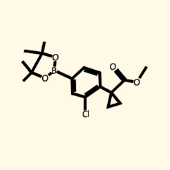 COC(=O)C1(c2ccc(B3OC(C)(C)C(C)(C)O3)cc2Cl)CC1